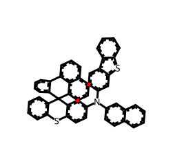 c1ccc2c(c1)Sc1ccc(N(c3ccc4ccccc4c3)c3ccc4c(c3)sc3ccccc34)cc1C21c2ccccc2-c2cccc3cccc1c23